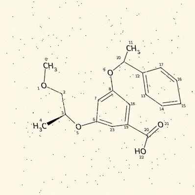 COC[C@H](C)Oc1cc(OC(C)c2ccccc2)cc(C(=O)O)c1